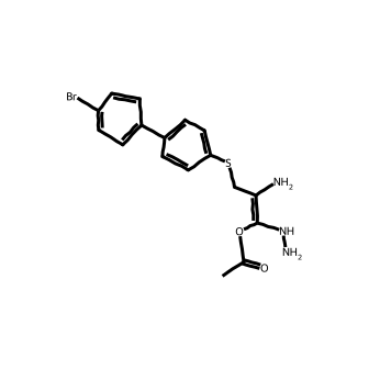 CC(=O)O/C(NN)=C(/N)CSc1ccc(-c2ccc(Br)cc2)cc1